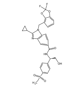 CS(=O)(=O)c1ccc([C@H](CO)NC(=O)c2ccc3c(c2)nc(C2CC2)n3Cc2cccc3c2OC(F)(F)O3)cc1